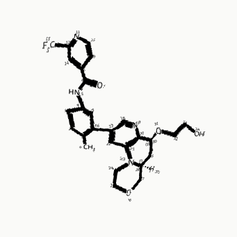 Cc1ccc(NC(=O)c2ccnc(C(F)(F)F)c2)cc1-c1cnc2c(c1)N1CCOC[C@@H]1C[C@@H]2OCCO